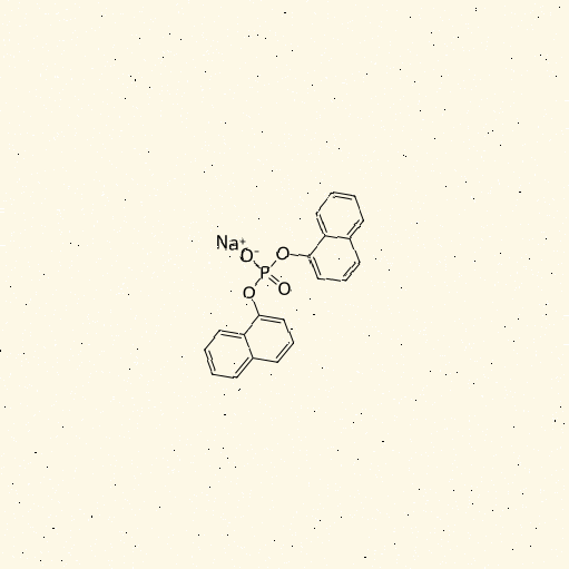 O=P([O-])(Oc1cccc2ccccc12)Oc1cccc2ccccc12.[Na+]